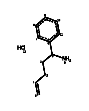 C=CCCC(N)c1ccccc1.Cl